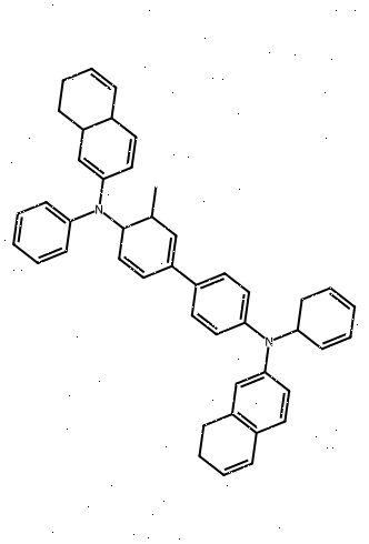 CC1C=C(c2ccc(N(c3ccc4c(c3)CCC=C4)C3C=CC=CC3)cc2)C=CC1N(C1=CC2CCC=CC2C=C1)c1ccccc1